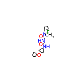 CN(Cc1ccccc1F)C(=O)CNCC(=O)Nc1ccc(Oc2ccccc2)cc1